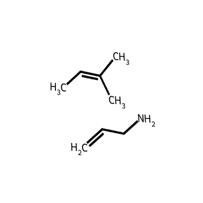 C=CCN.CC=C(C)C